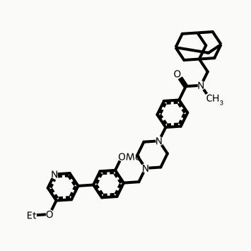 CCOc1cncc(-c2ccc(CN3CCN(c4ccc(C(=O)N(C)CC56CC7CC(CC(C7)C5)C6)cc4)CC3)c(OC)c2)c1